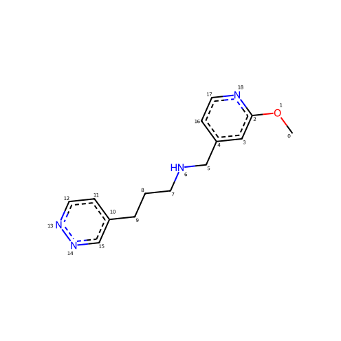 COc1cc(CNCCCc2ccnnc2)ccn1